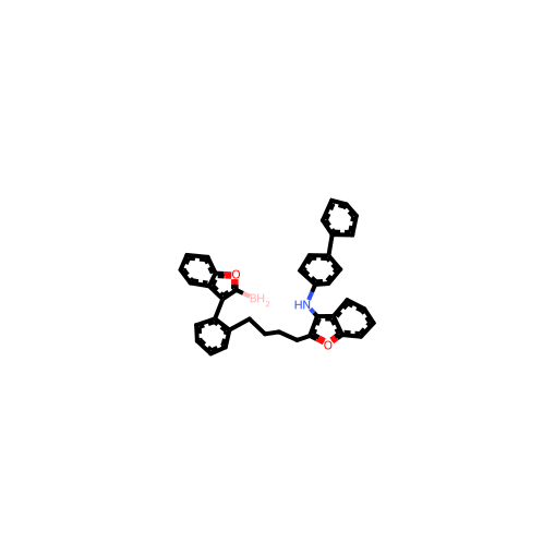 Bc1oc2ccccc2c1-c1ccccc1CCCCc1oc2ccccc2c1Nc1ccc(-c2ccccc2)cc1